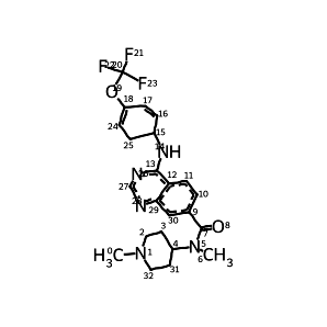 CN1CCC(N(C)C(=O)c2ccc3c(NC4C=CC(OC(F)(F)F)=CC4)ncnc3c2)CC1